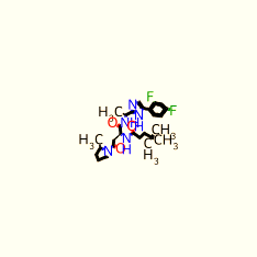 C[C@H](NC(=O)[C@H](CC(=O)N1CCC[C@H]1C)NC(=O)CCC(C)(C)C)c1ncc(-c2ccc(F)cc2F)[nH]1